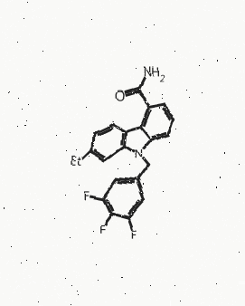 CCc1c[c]c2c3c(C(N)=O)cccc3n(Cc3cc(F)c(F)c(F)c3)c2c1